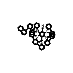 N#Cc1c(-n2c3ccccc3c3ccccc32)c(-n2c3ccccc3c3ccccc32)c(C#N)c(-n2c3cc(-c4ccccc4-c4cccc5ccccc45)ccc3c3ccc4c5ccccc5sc4c32)c1-n1c2ccccc2c2ccccc21